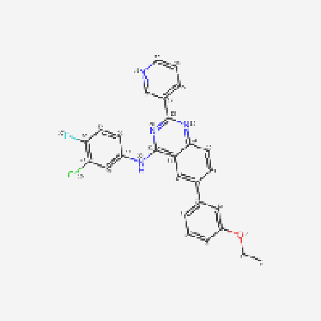 CCOc1cccc(-c2ccc3nc(-c4cccnc4)nc(Nc4ccc(F)c(Cl)c4)c3c2)c1